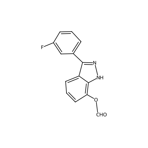 O=COc1cccc2c(-c3cccc(F)c3)n[nH]c12